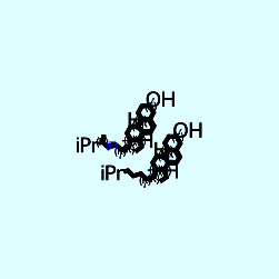 CC(C)CCC[C@@H](C)[C@H]1CC[C@H]2C3=CC=C4C[C@@H](O)CC[C@]4(C)[C@H]3CC[C@]12C.CC(C)[C@@H](C)/C=C/[C@@H](C)[C@H]1CC[C@H]2C3=CC=C4C[C@@H](O)CC[C@]4(C)[C@H]3CC[C@]12C